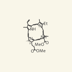 C=Cc1c(C)c2cc3nc(cc4[nH]c(cc5nc(cc1[nH]2)C(C)=C5CC)c(C)c4C(=O)OC)[C@@H](CCC(=O)OC)[C@@H]3C